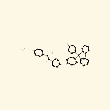 COc1ccc(C(O)C(O)c2ccc(Oc3ccc(C4(c5ccc(C)cc5)c5ccccc5-c5ccccc54)cc3)cc2)cc1